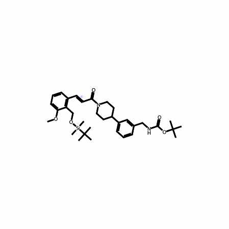 COc1cccc(/C=C/C(=O)N2CCC(c3cccc(CNC(=O)OC(C)(C)C)c3)CC2)c1CO[Si](C)(C)C(C)(C)C